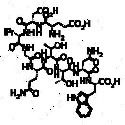 CC(C)[C@H](NC(=O)[C@H](CC(=O)O)NC(=O)[C@@H](N)CCC(=O)O)C(=O)NCC(=O)N[C@@H](CCC(N)=O)C(=O)N[C@H](C(=O)N[C@H](C(=O)N[C@@H](CC(N)=O)C(=O)N[C@@H](Cc1c[nH]c2ccccc12)C(=O)O)[C@@H](C)O)[C@@H](C)O